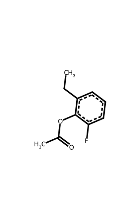 CCc1cccc(F)c1OC(C)=O